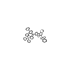 C1=Cc2cc(-c3nc4ccccc4o3)c3oc4cc(N(c5ccc(-c6ccccc6)cc5)c5cccc6c5-c5ccccc5C6(c5ccccc5)c5ccccc5)ccc4c3c2CC1